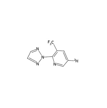 [2H]c1cnc(-n2nccn2)c(C(F)(F)F)c1